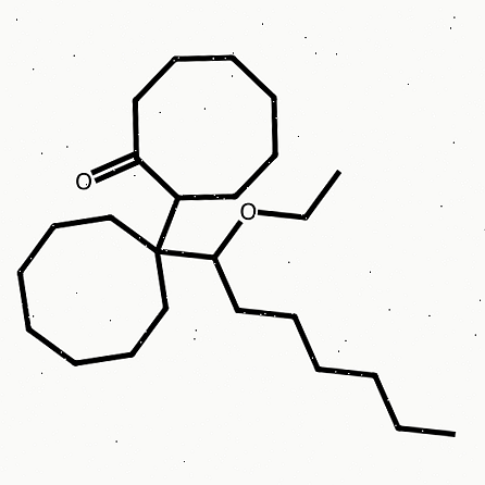 CCCCCCC(OCC)C1(C2CCCCCCC2=O)CCCCCCC1